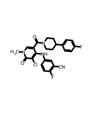 Cn1cc(C(=O)N2CCC(c3ccc(F)cc3)CC2)c(Nc2ccc(F)c(C#N)c2)c(Cl)c1=O